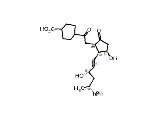 CCCC[C@H](C)C[C@H](O)/C=C/[C@@H]1[C@H](O)CC(=O)[C@@H]1CC(=O)C1CCC(C(=O)O)CC1